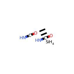 CC.CC.N=C=O.N=C=O.[SiH4]